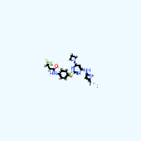 CC1=CC(Nc2cc(N3CCC3)nc(Sc3ccc(NC(=O)CC(F)(F)F)cc3)n2)=N1